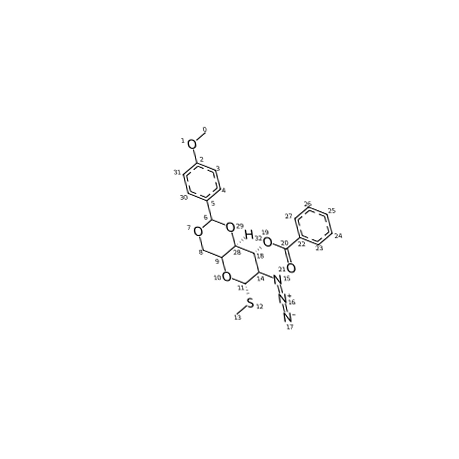 COc1ccc(C2OCC3O[C@@H](SC)C(N=[N+]=[N-])[C@@H](OC(=O)c4ccccc4)[C@@H]3O2)cc1